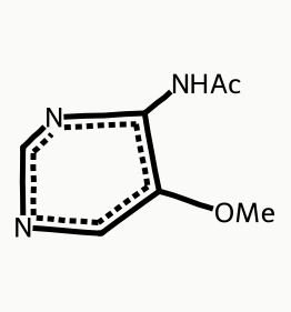 COc1cncnc1NC(C)=O